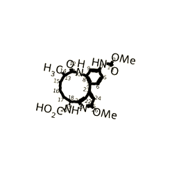 COC(=O)Nc1ccc2c(c1)NC(=O)C(C)CCC[C@H](NC(=O)O)c1cc-2cc(OC)n1